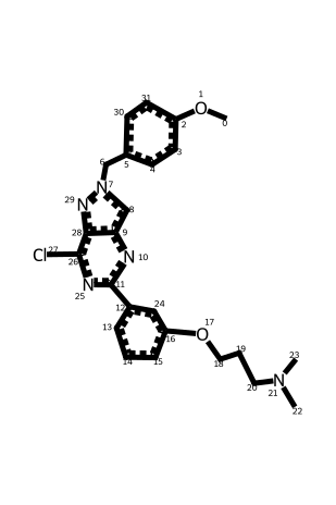 COc1ccc(Cn2cc3nc(-c4cccc(OCCCN(C)C)c4)nc(Cl)c3n2)cc1